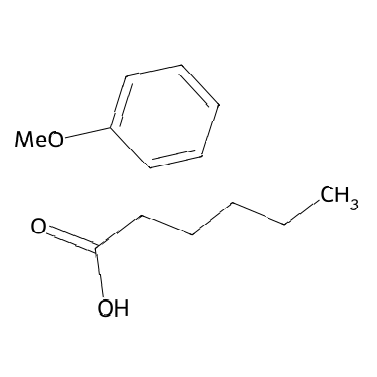 CCCCCC(=O)O.COc1ccccc1